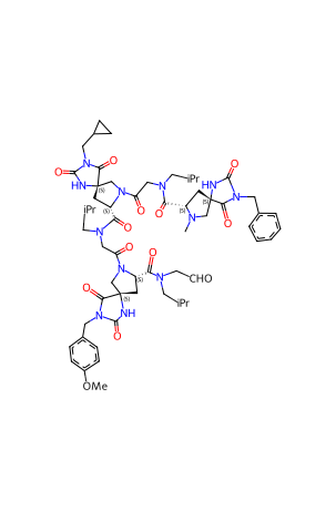 COc1ccc(CN2C(=O)N[C@]3(C[C@@H](C(=O)N(CC=O)CC(C)C)N(C(=O)CN(CC(C)C)C(=O)[C@@H]4C[C@@]5(CN4C(=O)CN(CC(C)C)C(=O)[C@@H]4C[C@@]6(CN4C)NC(=O)N(Cc4ccccc4)C6=O)NC(=O)N(CC4CC4)C5=O)C3)C2=O)cc1